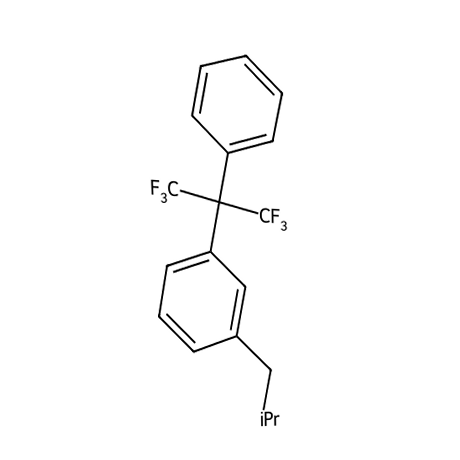 CC(C)Cc1cccc(C(c2ccccc2)(C(F)(F)F)C(F)(F)F)c1